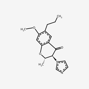 CCCc1cc2c(cc1OC)O[C@@H](C)[C@H](n1ccnc1)C2=O